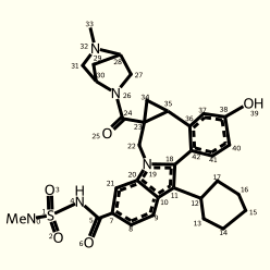 CNS(=O)(=O)NC(=O)c1ccc2c(C3CCCCC3)c3n(c2c1)CC1(C(=O)N2CC4CC2CN4C)CC1c1cc(O)ccc1-3